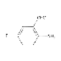 Nc1ccc(F)cc1C=O